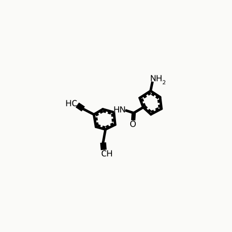 C#Cc1cc(C#C)cc(NC(=O)c2cccc(N)c2)c1